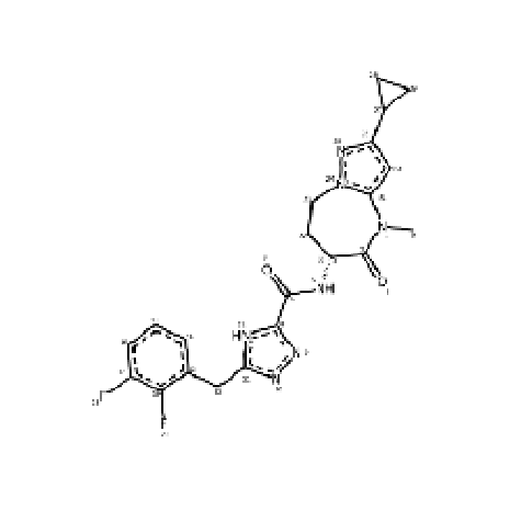 CN1C(=O)[C@H](NC(=O)c2nnc(Cc3cccc(F)c3F)[nH]2)CCn2nc(C3CC3)cc21